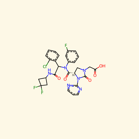 O=C(O)CN1C[C@@H](C(=O)N(c2cccc(F)c2)C(C(=O)NC2CC(F)(F)C2)c2ccccc2Cl)N(c2ncccn2)C1=O